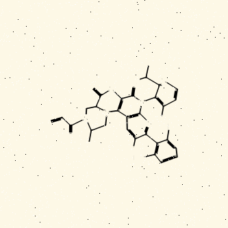 C=CC(=O)N1CC2C(=O)Nc3c(c4cc(F)c(-c5c(O)cccc5F)nc4n(-c4c(C)ccnc4C(C)C)c3=O)N2CC1C